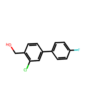 OCc1ccc(-c2ccc(F)cc2)cc1Cl